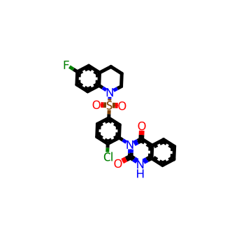 O=c1[nH]c2ccccc2c(=O)n1-c1cc(S(=O)(=O)N2CCCc3cc(F)ccc32)ccc1Cl